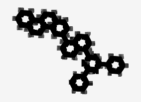 c1ccc(-c2nc(-c3ccccc3)nc(-c3cccc4c(-c5ccc6ccc7c8ccccc8ccc7c6c5)cccc34)n2)cc1